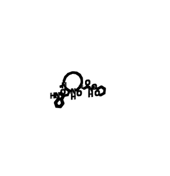 CN1CCCCCCCC[C@H](CC(=O)NOC2CCCCO2)C(=O)N[C@@H](Cc2c[nH]c3ccccc23)C1=O